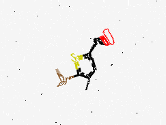 Cc1cc([C]=O)sc1Br